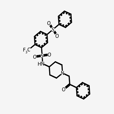 O=C(CN1CCC(NS(=O)(=O)c2cc(S(=O)(=O)c3ccccc3)ccc2C(F)(F)F)CC1)c1ccccc1